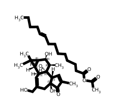 CC1=C[C@H]2[C@]3(O)[C@H](C)[C@@H](O)[C@@]4(O)[C@H]([C@@H]3C=C(CO)C[C@@]2(O)C1=O)C4(C)C.CCCCC=CCCCCCCCC(=O)OC(C)=O